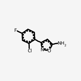 Nc1cc(-c2ccc(F)cc2Cl)no1